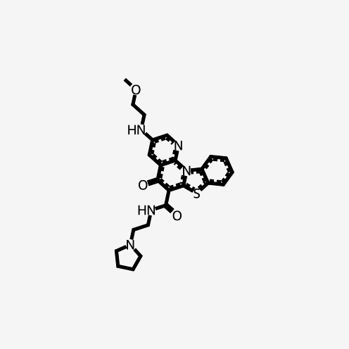 COCCNc1cnc2c(c1)c(=O)c(C(=O)NCCN1CCCC1)c1sc3ccccc3n12